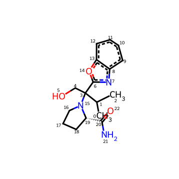 CC(C)C(CO)(c1nc2ccccc2o1)N1CCC[C@H]1C(N)=O